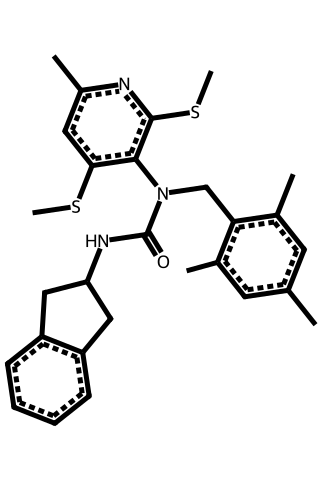 CSc1cc(C)nc(SC)c1N(Cc1c(C)cc(C)cc1C)C(=O)NC1Cc2ccccc2C1